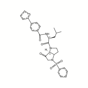 CC(C)C[C@H](NC(=O)c1ccc(-c2cccs2)cc1)C(=O)N1CCC2[C@H]1C(=O)CN2S(=O)(=O)c1ccccc1